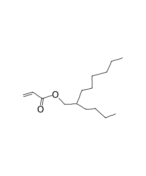 C=CC(=O)OCC(CCCC)CCCCCC